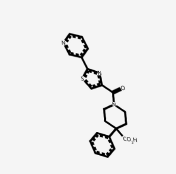 O=C(c1csc(-c2cccnc2)n1)N1CCC(C(=O)O)(c2ccccc2)CC1